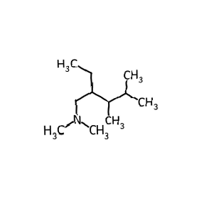 CCC(CN(C)C)C(C)C(C)C